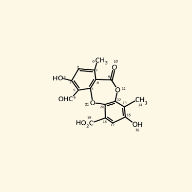 Cc1cc(O)c(C=O)c2c1C(=O)Oc1c(C)c(O)cc(C(=O)O)c1O2